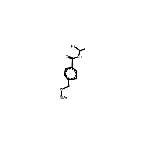 CNNCc1ccc(C(=O)NC(C)S)cc1